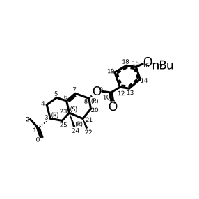 C=C(C)[C@@H]1CCC2=C[C@H](OC(=O)c3ccc(OCCCC)cc3)C[C@@H](C)[C@]2(C)C1